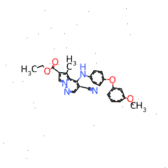 CCOC(=O)c1cn2ncc(C#N)c(Nc3ccc(Oc4cccc(OC)c4)cc3)c2c1C